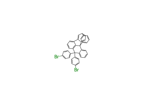 Brc1ccc(C2(c3ccc(Br)cc3)c3ccccc3C3(c4ccccc4)c4ccccc4-c4cccc2c43)cc1